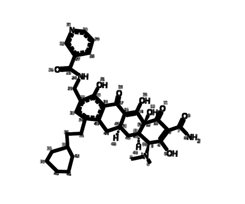 CN(C)[C@@H]1C(O)=C(C(N)=O)C(=O)[C@@]2(O)C(O)=C3C(=O)c4c(O)c(CNC(=O)c5cccnc5)cc(CCC5CCCCC5)c4C[C@@H]3C[C@H]12